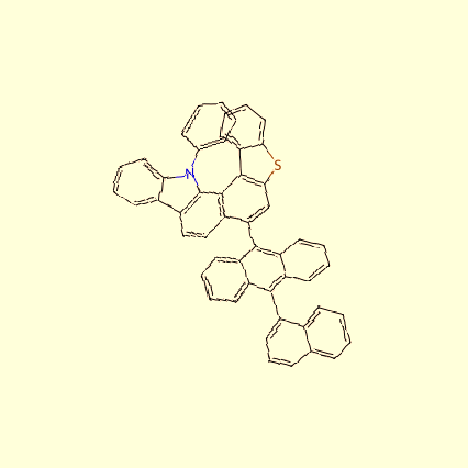 c1ccc(-n2c3ccccc3c3ccc4c(-c5c6ccccc6c(-c6cccc7ccccc67)c6ccccc56)cc5sc6ccccc6c5c4c32)cc1